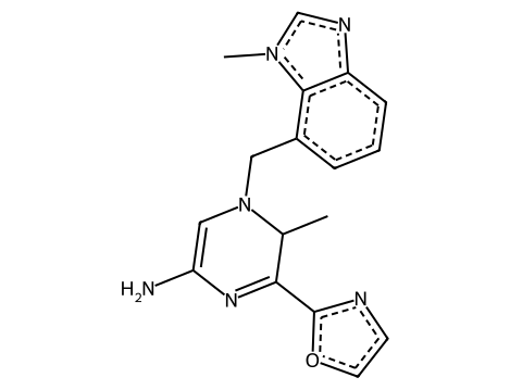 CC1C(c2ncco2)=NC(N)=CN1Cc1cccc2ncn(C)c12